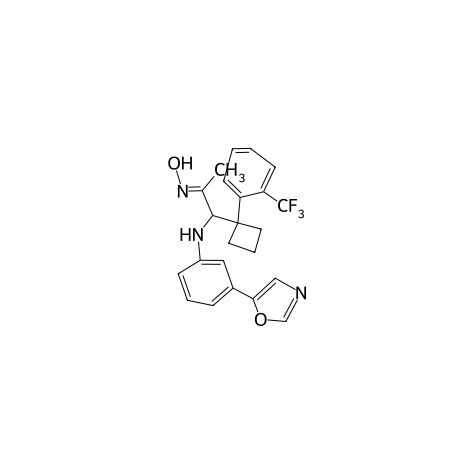 CC(=NO)C(Nc1cccc(-c2cnco2)c1)C1(c2ccccc2C(F)(F)F)CCC1